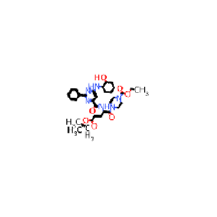 CCOC(=O)N1CCN(C(=O)C(CCC(=O)OC(C)(C)C)NC(=O)c2cc(NC3CCCCC3O)nc(-c3ccccc3)n2)CC1